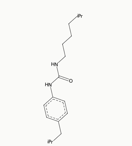 CC(C)CCCCNC(=O)Nc1ccc(CC(C)C)cc1